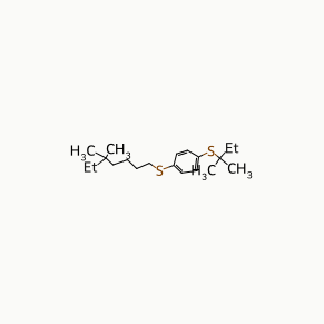 CCC(C)(C)CCCCSc1ccc(SC(C)(C)CC)cc1